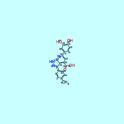 Cc1ccc(-c2n[nH]c3nc(-c4ccc(O)c(O)c4)cc(C(=O)O)c23)cc1